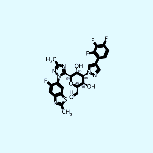 Cc1nc([C@@H]2O[C@H](CO)[C@H](O)[C@H](n3cc(-c4ccc(F)c(F)c4F)cn3)[C@H]2O)n(-c2cc3sc(C)nc3cc2F)n1